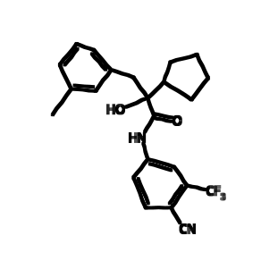 Cc1cccc(CC(O)(C(=O)Nc2ccc(C#N)c(C(F)(F)F)c2)C2CCCC2)c1